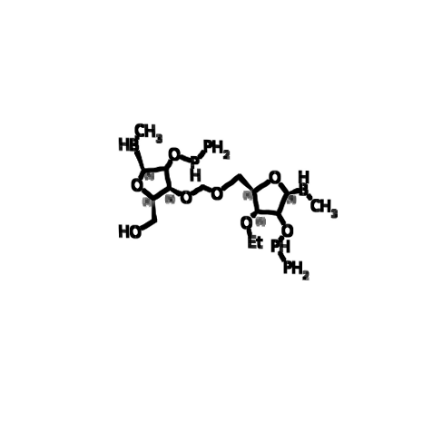 CB[C@@H]1O[C@H](CO)[C@H](OCOC[C@H]2O[C@@H](BC)C(OPP)[C@H]2OCC)C1OPP